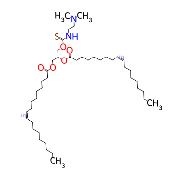 CCCCCCCC/C=C\CCCCCCCC(=O)OCC(COC(=S)NCCN(C)C)OC(=O)CCCCCCC/C=C\CCCCCCCC